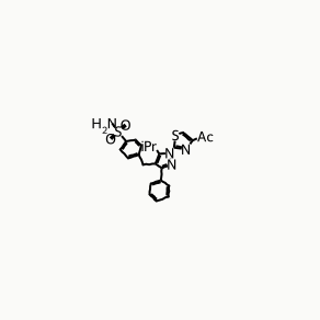 CC(=O)c1csc(-n2nc(-c3ccccc3)c(Cc3ccc(S(N)(=O)=O)cc3)c2C(C)C)n1